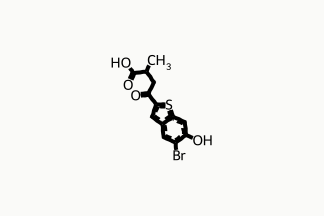 CC(CC(=O)c1cc2cc(Br)c(O)cc2s1)C(=O)O